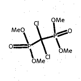 COP(=O)(OC)C(Cl)(Cl)P(=O)(OC)OC